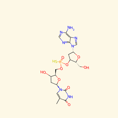 Cc1cn([C@H]2CC(O)[C@@H](COP(=O)(S)OC3C[C@H](n4cnc5c(N)ncnc54)O[C@@H]3CO)O2)c(=O)[nH]c1=O